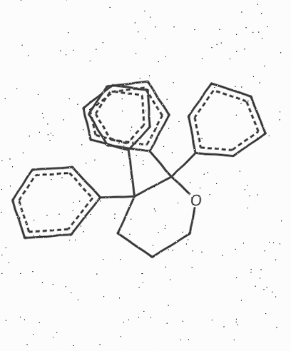 c1ccc(C2(c3ccccc3)CCCOC2(c2ccccc2)c2ccccc2)cc1